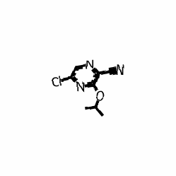 CC(C)Oc1nc(Cl)cnc1C#N